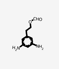 Nc1cc(N)cc(CCOC=O)c1